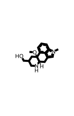 CO[C@]12CC(CO)CN[C@@H]1Cc1cn(C)c3cccc2c13